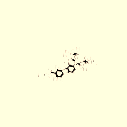 COC(=O)c1c(N)ccc(Oc2c(F)ccc(N(C(=O)OC(C)(C)C)C(=O)OC(C)(C)C)c2Cl)c1F